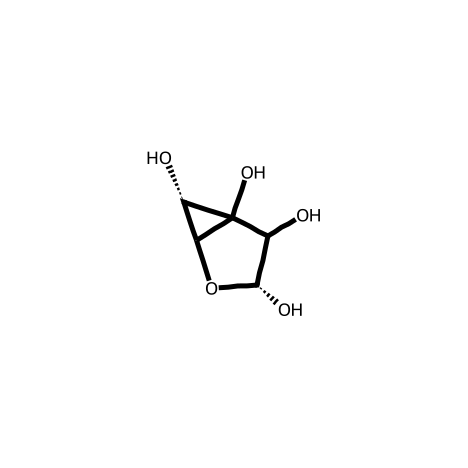 OC1[C@H](O)OC2[C@H](O)C12O